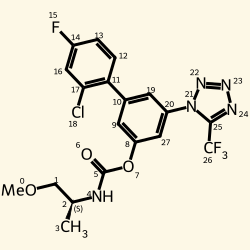 COC[C@H](C)NC(=O)Oc1cc(-c2ccc(F)cc2Cl)cc(-n2nnnc2C(F)(F)F)c1